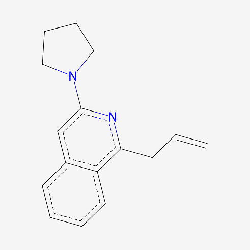 C=CCc1nc(N2CCCC2)cc2ccccc12